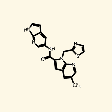 O=C(Nc1cnc2[nH]ccc2c1)c1cc2cc(C(F)(F)F)cnc2n1Cc1nccs1